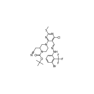 CSc1nc(Cl)c(/C=N/Nc2cccc(Br)c2C(F)(F)F)c(N2CCN(C(=O)OC(C)(C)C)C(CC#N)C2)n1